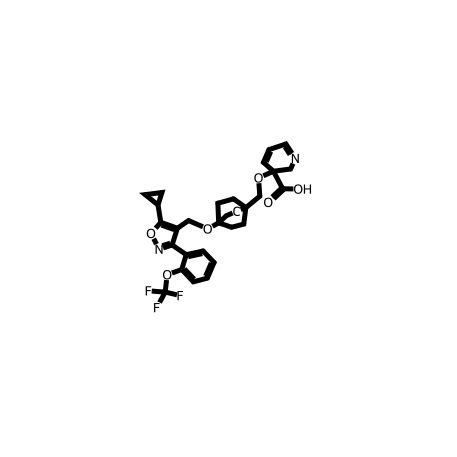 O=C(O)C1(OCC23CCC(OCc4c(-c5ccccc5OC(F)(F)F)noc4C4CC4)(CC2)CC3)C=CC=NC1